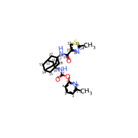 Cc1cccc(OC(=O)NC23CC4CC(C2)CC(NC(=O)c2csc(C)n2)(C4)C3)n1